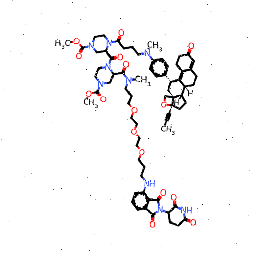 CC#C[C@]12CC[C@H]3[C@@H]4CCC5=CC(=O)CCC5=C4[C@@H](c4ccc(N(C)CCCC(=O)N5CCN(C(=O)OC)CC5C(=O)N5CCN(C(=O)OC)CC5C(=O)N(C)CCCOCCOCCOCCCNc5cccc6c5C(=O)N(C5CCC(=O)NC5=O)C6=O)cc4)C[C@@]31CO2